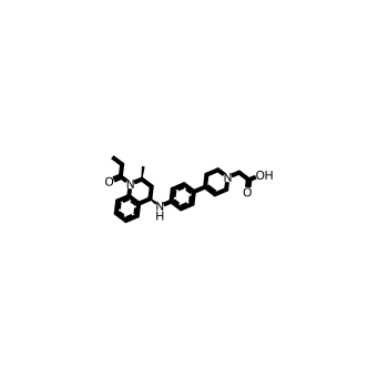 CCC(=O)N1c2ccccc2[C@H](Nc2ccc(C3=CCN(CC(=O)O)CC3)cc2)C[C@@H]1C